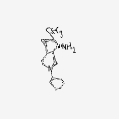 Cc1cc2ccn(-c3ccccc3)cc-2[n+]1N